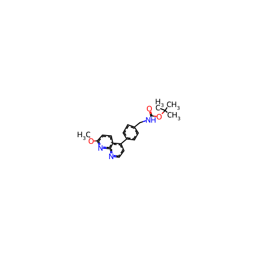 COc1ccc2c(-c3ccc(CNC(=O)OC(C)(C)C)cc3)ccnc2n1